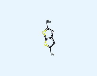 CC(C)c1cc2cc(C(C)(C)C)sc2s1